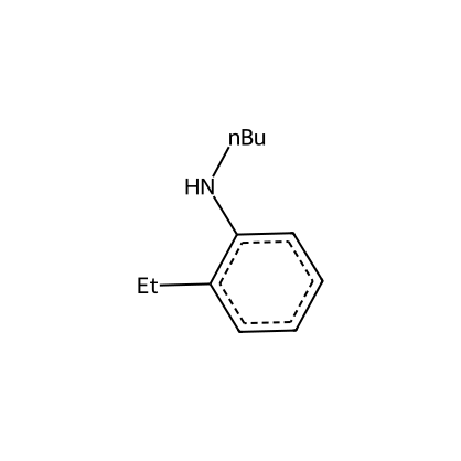 [CH2]CCCNc1ccccc1CC